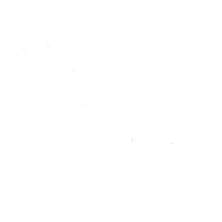 Nc1ncc(NCCNc2ccc(C(=O)NC(CCC(=O)O)C(=O)O)cc2)c(O)n1